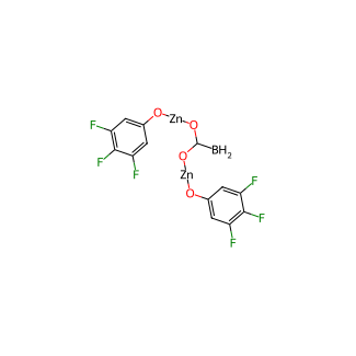 BC([O][Zn][O]c1cc(F)c(F)c(F)c1)[O][Zn][O]c1cc(F)c(F)c(F)c1